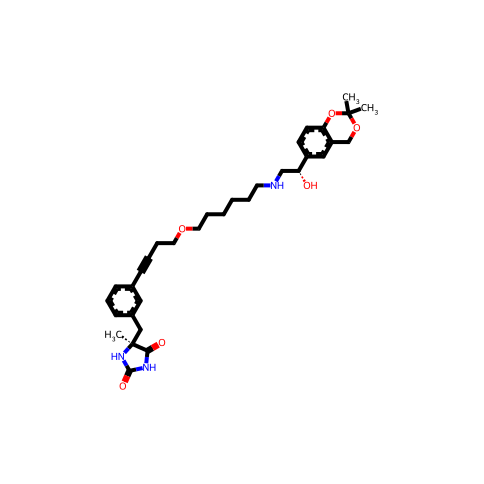 CC1(C)OCc2cc([C@H](O)CNCCCCCCOCCC#Cc3cccc(C[C@]4(C)NC(=O)NC4=O)c3)ccc2O1